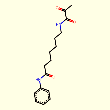 CC(=O)C(=O)NCCCCCCC(=O)Nc1ccccc1